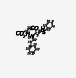 CN(CCCSc1ccccc1)CCc1ccccc1.O=C(O)/C=C\C(=O)O